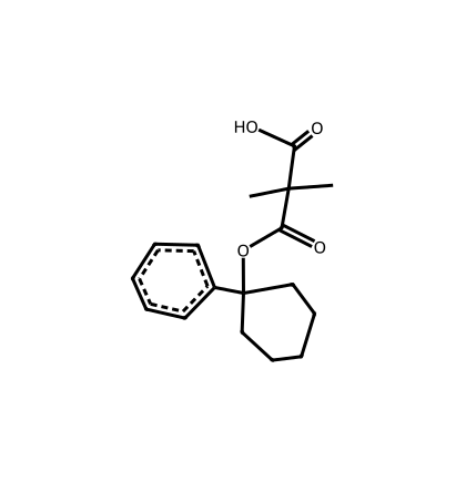 CC(C)(C(=O)O)C(=O)OC1(c2ccccc2)CCCCC1